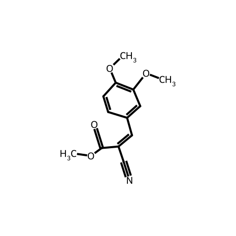 COC(=O)C(C#N)=Cc1ccc(OC)c(OC)c1